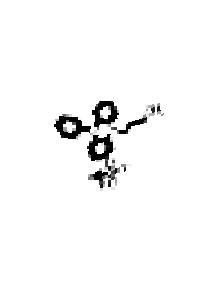 CCCCOc1ccccc1[S+](c1ccccc1)c1ccccc1.O=S(=O)([O-])C(F)(F)F